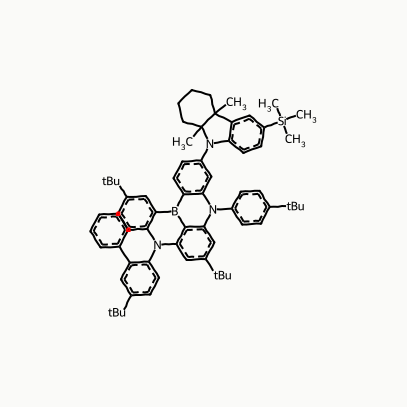 CC(C)(C)c1ccc(N2c3cc(N4c5ccc([Si](C)(C)C)cc5C5(C)CCCCC45C)ccc3B3c4cc(C(C)(C)C)ccc4N(c4ccc(C(C)(C)C)cc4-c4ccccc4)c4cc(C(C)(C)C)cc2c43)cc1